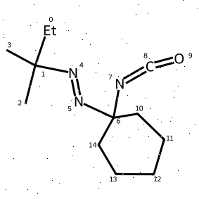 CCC(C)(C)N=NC1(N=C=O)CCCCC1